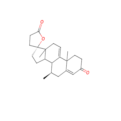 C[C@@H]1CC2=CC(=O)CCC2(C)C2=CCC3(C)C(CC[C@@]34CCC(=O)O4)C21